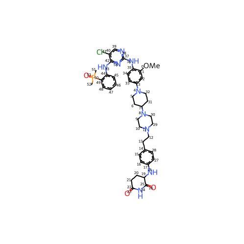 COc1cc(N2CCC(N3CCN(CCc4ccc(NC5CCC(=O)NC5=O)cc4)CC3)CC2)ccc1Nc1ncc(Cl)c(Nc2ccccc2P(C)(C)=O)n1